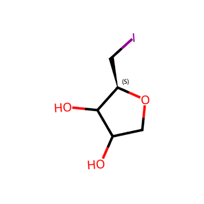 OC1CO[C@H](CI)C1O